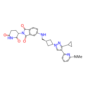 CNc1cccc(-c2cn([C@H]3C[C@H](CNc4ccc5c(c4)C(=O)N(C4CCC(=O)NC4=O)C5=O)C3)nc2C2CC2)n1